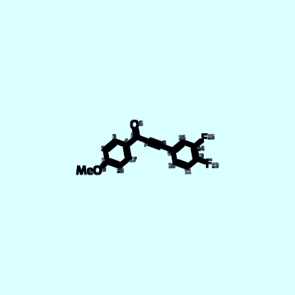 COc1ccc(C(=O)C#Cc2ccc(F)c(F)c2)cc1